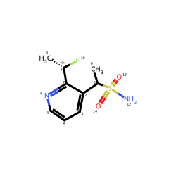 CC(c1cccnc1[C@H](C)F)S(N)(=O)=O